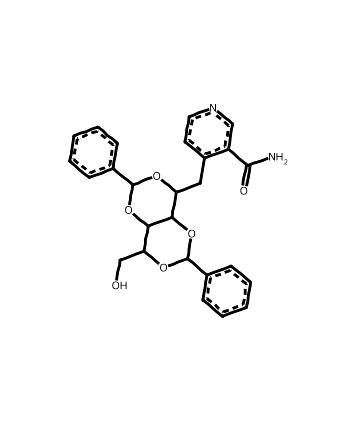 NC(=O)c1cnccc1CC1OC(c2ccccc2)OC2C(CO)OC(c3ccccc3)OC12